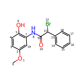 COc1ccc(O)c(NC(=O)C(Br)c2ccccc2)c1